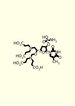 Cc1cn([C@@H]2O[C@H](C(CN(CCC(=O)O)CCC(=O)O)OCN(CCC(=O)O)CCC(=O)O)CC2OP(N)(=O)O)c(=O)[nH]c1=O